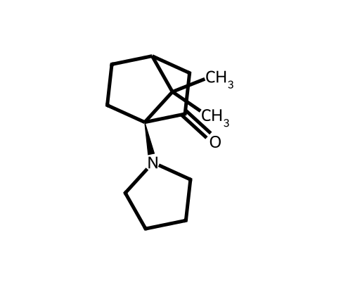 CC1(C)C2CC[C@@]1(N1CCCC1)C(=O)C2